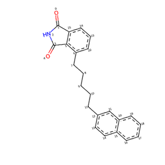 O=C1NC(=O)c2c(CCCCCc3ccc4ccccc4c3)cccc21